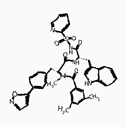 Cc1cc(C)cc(C(=O)N(C)[C@H](Cc2ccc(-c3ccno3)cc2)C(=O)N[C@@H](Cc2c[nH]c3ccccc23)C(=O)NS(=O)(=O)c2ccccn2)c1